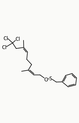 CC(=CCOSCc1ccccc1)CCC=C(C)CC(Cl)(Cl)Cl